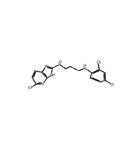 Clc1ccc(NCCCNc2nc3ccc(Cl)nc3[nH]2)c(Cl)c1